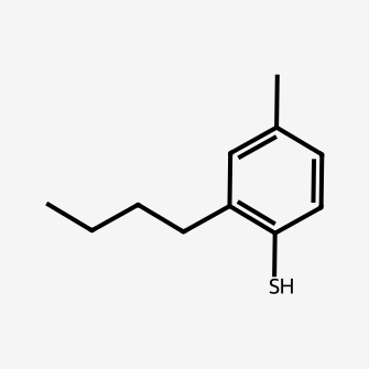 CCCCc1cc(C)ccc1S